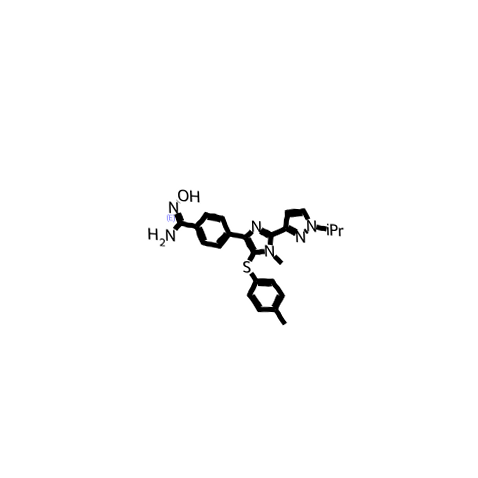 Cc1ccc(Sc2c(-c3ccc(/C(N)=N\O)cc3)nc(-c3ccn(C(C)C)n3)n2C)cc1